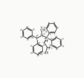 CCC(F)C[PH](c1ccccc1)(c1ccccc1)N(C)P(c1ccccc1)c1ccccc1